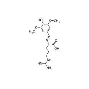 COc1cc(/C=N/C(CCCNC(=N)N)C(=O)O)cc(OC)c1O